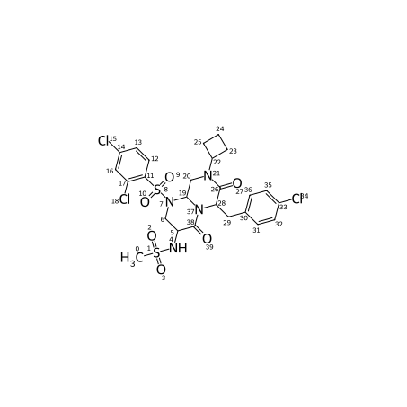 CS(=O)(=O)NC1CN(S(=O)(=O)c2ccc(Cl)cc2Cl)C2CN(C3CCC3)C(=O)C(Cc3ccc(Cl)cc3)N2C1=O